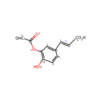 O=CC(=O)Oc1cc(/C=C/C(=O)O)ccc1O